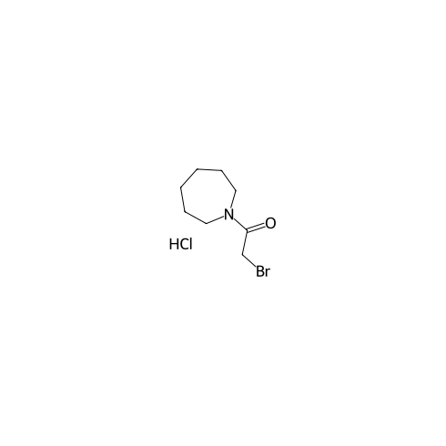 Cl.O=C(CBr)N1CCCCCC1